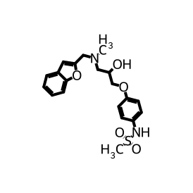 CN(Cc1cc2ccccc2o1)CC(O)COc1ccc(NS(C)(=O)=O)cc1